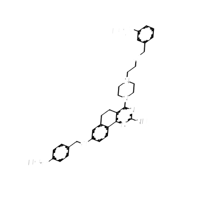 Nc1nc2c(c(N3CCN(CCOCc4cccc(C(=O)O)c4)CC3)n1)CCc1cc(OCc3ccc(OO)cc3)ccc1-2